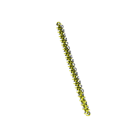 S=S=S=S=S=S=S=S=S=S=S=S=S=S=S=S=S=S=S=S=S=S=S=S=S=S=S=S=S=S=S=S=S=S=S=S=S=S=S=S=S=S